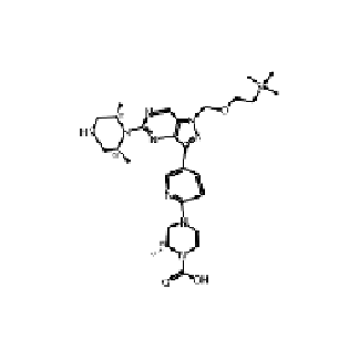 C[C@@H]1CN(c2ccc(-c3nn(COCC[Si](C)(C)C)c4cnc(N5[C@H](C)CNC[C@@H]5C)nc34)cn2)CCN1C(=O)O